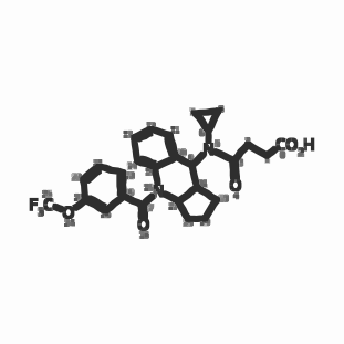 O=C(O)CCC(=O)N(C1CC1)C1c2ccccc2N(C(=O)c2cccc(OC(F)(F)F)c2)C2CCCC21